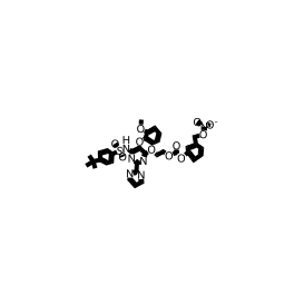 COc1ccccc1Oc1c(NS(=O)(=O)c2ccc(C(C)(C)C)cc2)nc(-c2ncccn2)nc1OCCOC(=O)Oc1cccc(CO[N+](=O)[O-])c1